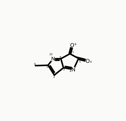 Cc1cc2nc(=O)c(=O)c-2n1